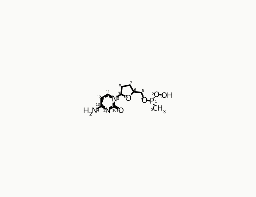 CP(OO)OCC1CCC(n2ccc(N)nc2=O)O1